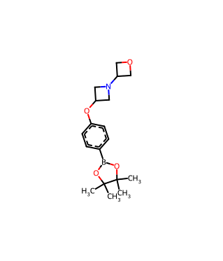 CC1(C)OB(c2ccc(OC3CN(C4COC4)C3)cc2)OC1(C)C